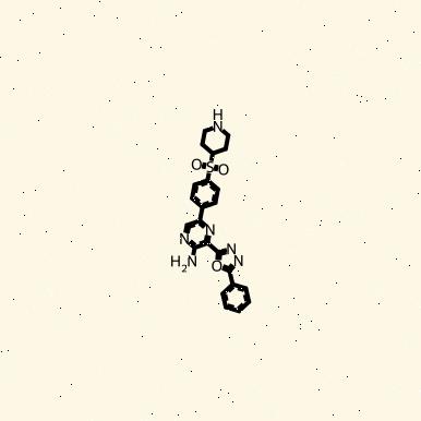 Nc1ncc(-c2ccc(S(=O)(=O)C3CCNCC3)cc2)nc1-c1nnc(-c2ccccc2)o1